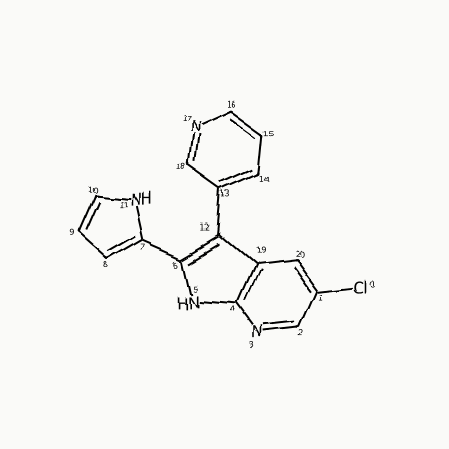 Clc1cnc2[nH]c(-c3ccc[nH]3)c(-c3cccnc3)c2c1